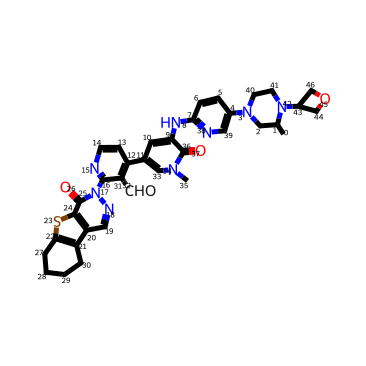 CC1CN(c2ccc(Nc3cc(-c4ccnc(-n5ncc6c7c(sc6c5=O)CCCC7)c4C=O)cn(C)c3=O)nc2)CCN1C1COC1